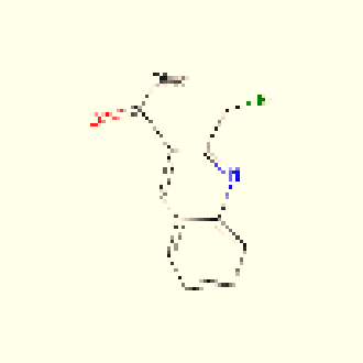 COC(=O)c1cc2ccccc2nc1CBr